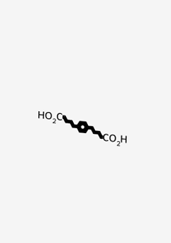 O=C(O)CCCCc1ccc(CCCCC(=O)O)cc1